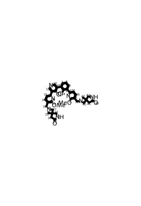 COc1nc(-c2cccc(-c3cncc(-c4ccc(CN5CC6(CNC(=O)C6)C5)c(OC)n4)c3Cl)c2Cl)ccc1CN1CC2(CNC(=O)C2)C1